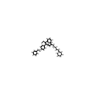 CCc1c(-c2ccc(OCc3ccccc3)cc2)c2cc(COCCCN3CCCCC3)c3cccc1n32